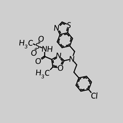 Cc1oc(N(CCc2ccc(Cl)cc2)Cc2ccc3ncsc3c2)nc1C(=O)NS(C)(=O)=O